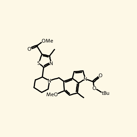 COC(=O)c1sc(C2CCCCN2Cc2c(OC)cc(C)c3c2ccn3C(=O)OC(C)(C)C)nc1C